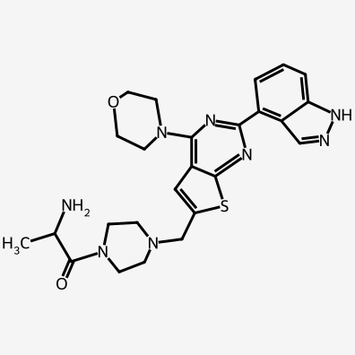 CC(N)C(=O)N1CCN(Cc2cc3c(N4CCOCC4)nc(-c4cccc5[nH]ncc45)nc3s2)CC1